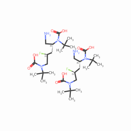 CC(C)(C)N(C[C@@H](F)C[C@H](CN)N(C(=O)O)C(C)(C)C)C(=O)O.CC(C)(C)N(C[C@@H](F)C[C@H](CN)N(C(=O)O)C(C)(C)C)C(=O)O